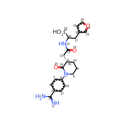 N=C(N)c1ccc(N2CCC[C@@H](CC(=O)NC(Cc3ccoc3)C(=O)O)C2=O)cc1